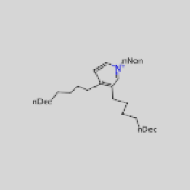 CCCCCCCCCCCCCCc1cc[n+](CCCCCCCCC)cc1CCCCCCCCCCCCCC